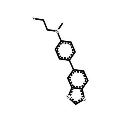 CN(CCF)c1ccc(-c2ccc3scnc3c2)cc1